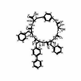 O=C1C[C@@H](O)C(=O)Nc2ccc(cc2)C[C@@H](C(=O)O)NC(=O)[C@@H](Cc2ccccc2)NC(=O)[C@H](Cc2ccc(-c3ccccc3)cc2)NC(=O)[C@@H](Cc2ccccc2)N1